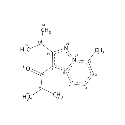 Cc1cccc2c(C(=O)C(C)C)c(C(C)C)nn12